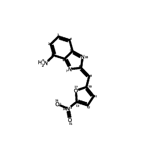 Nc1cccc2c1=NC(=Cc1ccc([N+](=O)[O-])o1)N=2